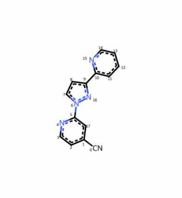 N#Cc1ccnc(-n2ccc(-c3ccccn3)n2)c1